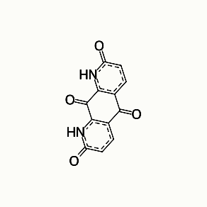 O=C1c2ccc(=O)[nH]c2C(=O)c2[nH]c(=O)ccc21